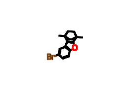 CC12CCC(C)(CC1)c1c2oc2ccc(Br)cc12